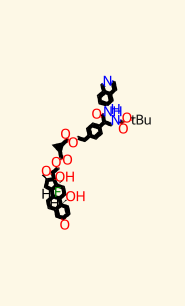 C[C@@H]1C[C@H]2[C@@H]3CCC4=CC(=O)C=C[C@]4(C)[C@@]3(F)[C@@H](O)C[C@]2(C)[C@@]1(O)C(=O)COC(=O)C1CC1C(=O)OCCc1ccc(C(CNC(=O)OC(C)(C)C)C(=O)Nc2ccc3cnccc3c2)cc1